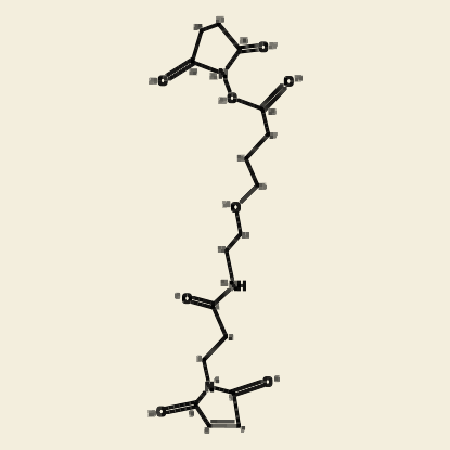 O=C(CCN1C(=O)C=CC1=O)NCCOCCCC(=O)ON1C(=O)CCC1=O